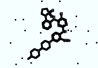 COc1cc(N2CCC(N3CCN(C)CC3)CC2)ccc1Nc1ncc(Cl)c(Nc2ccccc2N2CCCS2(=O)=O)n1